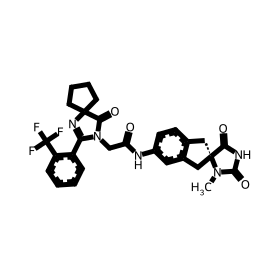 CN1C(=O)NC(=O)[C@@]12Cc1ccc(NC(=O)CN3C(=O)C4(CCCC4)N=C3c3ccccc3C(F)(F)F)cc1C2